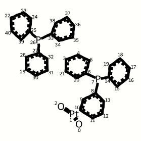 [O]=[Pt]=[O].c1ccc(P(c2ccccc2)c2ccccc2)cc1.c1ccc(P(c2ccccc2)c2ccccc2)cc1